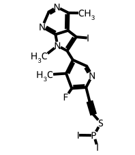 Cc1c(-c2c(I)c3c(C)ncnc3n2C)cnc(C#CSP(I)I)c1F